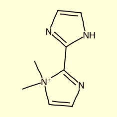 C[N+]1(C)C=CN=C1c1ncc[nH]1